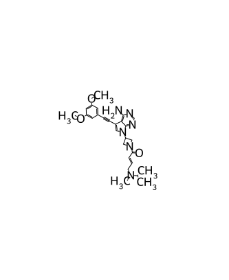 COc1cc(C#Cc2cn(C3CN(C(=O)C=CCN(C)C(C)C)C3)c3ncnc(N)c23)cc(OC)c1